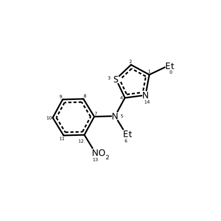 CCc1csc(N(CC)c2ccccc2[N+](=O)[O-])n1